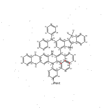 CCC[C@H](C)c1ccc(N2c3cc4c(cc3Bc3c2cc2ccccc2c3-c2cc(N(c3ccccc3)c3ccccc3)cc3c5c([nH]c23)-c2ccccc2C5(C)C)Sc2ccccc2S4)c(-c2ccccc2)c1